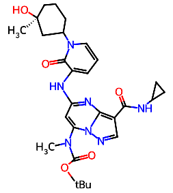 CN(C(=O)OC(C)(C)C)c1cc(Nc2cccn(C3CCC[C@](C)(O)C3)c2=O)nc2c(C(=O)NC3CC3)cnn12